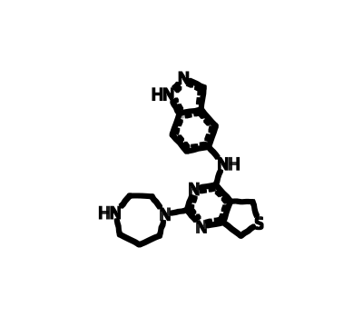 c1cc2[nH]ncc2cc1Nc1nc(N2CCCNCC2)nc2c1CSC2